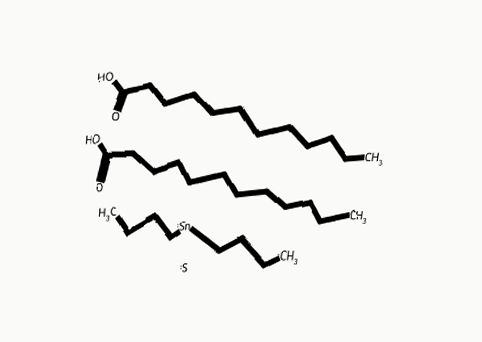 CCCCCCCCCCCC(=O)O.CCCCCCCCCCCC(=O)O.CCC[CH2][Sn][CH2]CCC.[S]